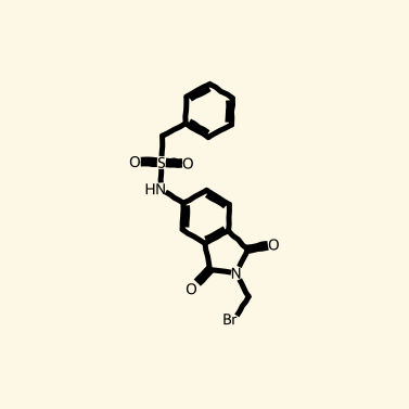 O=C1c2ccc(NS(=O)(=O)Cc3ccccc3)cc2C(=O)N1CBr